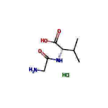 CC(C)[C@H](NC(=O)CN)C(=O)O.Cl